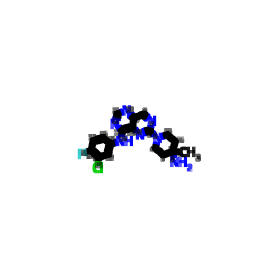 CC1(N)CCN(c2ncc3ncnc(Nc4ccc(F)c(Cl)c4)c3n2)CC1